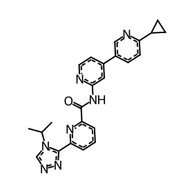 CC(C)n1cnnc1-c1cccc(C(=O)Nc2cc(-c3ccc(C4CC4)nc3)ccn2)n1